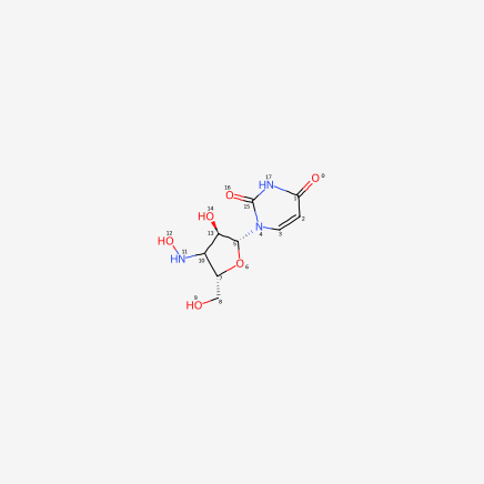 O=c1ccn([C@@H]2O[C@H](CO)C(NO)[C@H]2O)c(=O)[nH]1